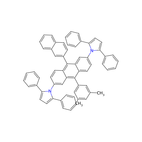 Cc1cc(C)cc(-c2c3ccc(-n4c(-c5ccccc5)ccc4-c4ccccc4)cc3c(-c3ccc4ccccc4c3)c3ccc(-n4c(-c5ccccc5)ccc4-c4ccccc4)cc23)c1